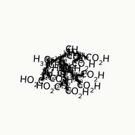 C[Si](C)(CCCN(CCC(=O)O)CCC(=O)O)CCC[Si](CCC[Si](C)(C)CCCN(CCC(=O)O)CCC(=O)O)(CCC[Si](C)(C)CCCN(CCC(=O)O)CCC(=O)O)CCC[Si](C)(C)CCCN(CCC(=O)O)CCC(=O)O